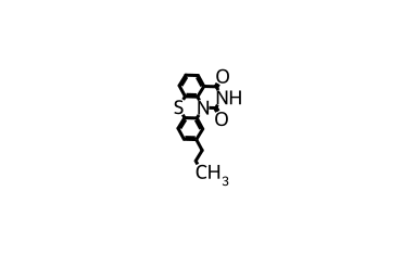 CCCc1ccc2c(c1)-n1c(=O)[nH]c(=O)c3cccc(c31)S2